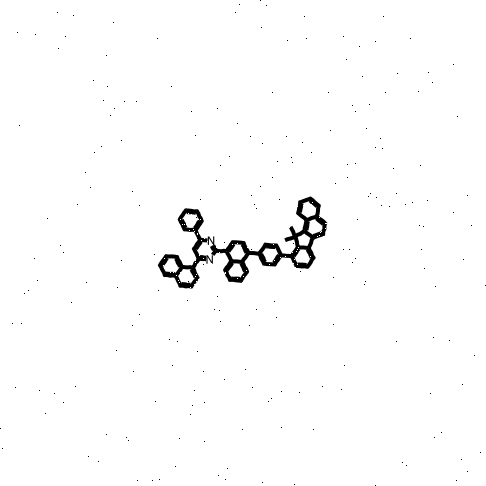 CC1(C)c2c(-c3ccc(-c4ccc(-c5nc(-c6ccccc6)cc(-c6cccc7ccccc67)n5)c5ccccc45)cc3)cccc2-c2ccc3ccccc3c21